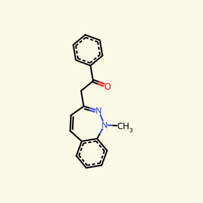 CN1N=C(CC(=O)c2ccccc2)C=Cc2ccccc21